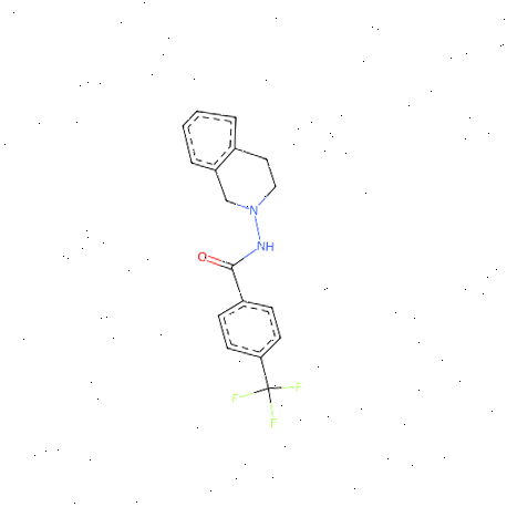 O=C(NN1CCc2ccccc2C1)c1ccc(C(F)(F)F)cc1